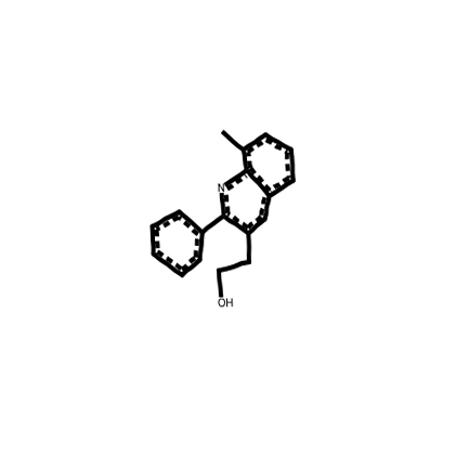 Cc1cccc2cc(CCO)c(-c3ccccc3)nc12